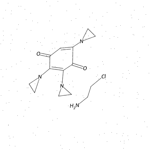 NCCCl.O=C1C=C(N2CC2)C(=O)C(N2CC2)=C1N1CC1